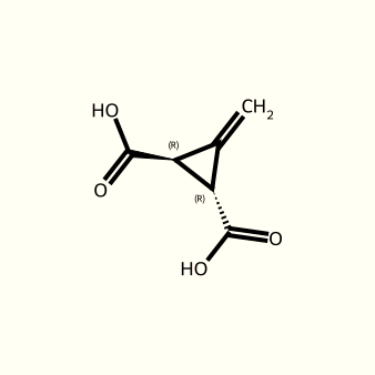 C=C1[C@H](C(=O)O)[C@H]1C(=O)O